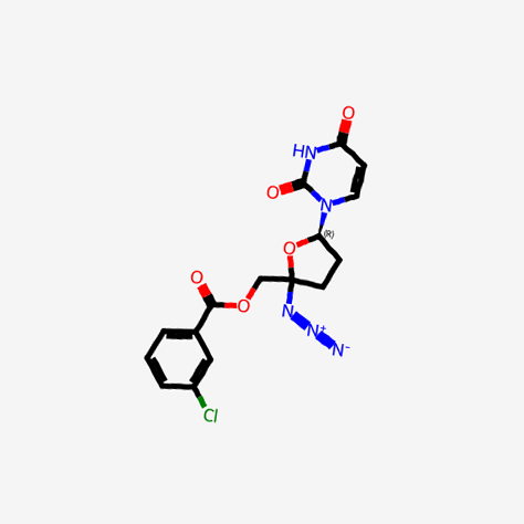 [N-]=[N+]=NC1(COC(=O)c2cccc(Cl)c2)CC[C@H](n2ccc(=O)[nH]c2=O)O1